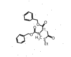 CCSC(=O)C[C@@H](C(=O)OCc1ccccc1)N(C)C(=O)OCc1ccccc1